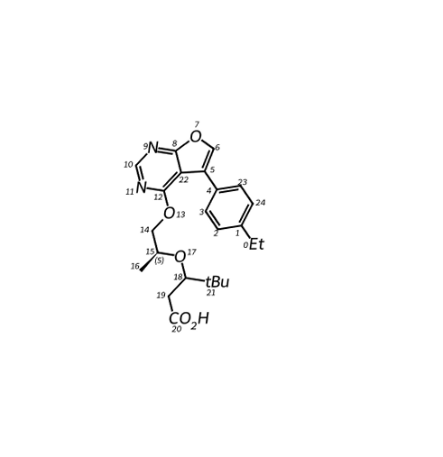 CCc1ccc(-c2coc3ncnc(OC[C@H](C)OC(CC(=O)O)C(C)(C)C)c23)cc1